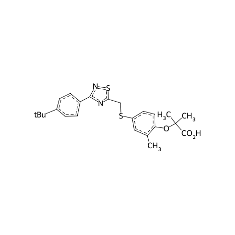 Cc1cc(SCc2nc(-c3ccc(C(C)(C)C)cc3)ns2)ccc1OC(C)(C)C(=O)O